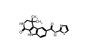 CC1(C)CNC(=O)c2[nH]c3ccc(C(=O)Nc4nccs4)cc3c21